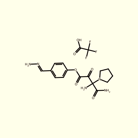 NN=Cc1ccc(OC(=O)C(=O)C(N)(C(N)=O)N2CCCC2)cc1.O=C(O)C(F)(F)F